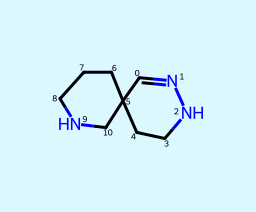 C1=NNCCC12CCCNC2